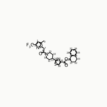 Cc1cc(C(F)(F)F)nn1CC(=O)N1CCC(c2nc(C(=O)O[C@H]3CCCc4ccccc43)cs2)CC1